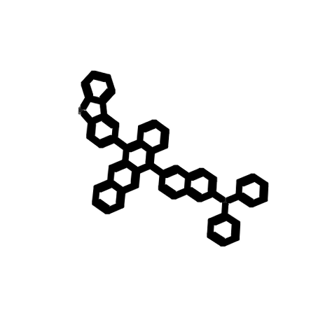 c1ccc(N(c2ccccc2)c2ccc3cc(-c4c5ccccc5c(-c5ccc6sc7ccccc7c6c5)c5cc6ccccc6cc45)ccc3c2)cc1